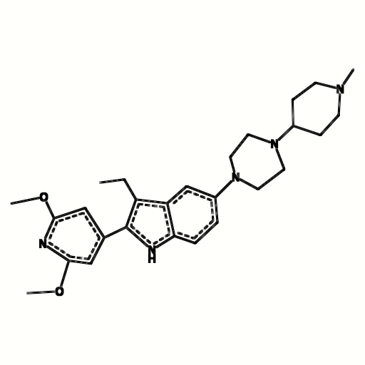 CCc1c(-c2cc(OC)nc(OC)c2)[nH]c2ccc(N3CCN(C4CCN(C)CC4)CC3)cc12